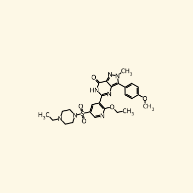 CCOc1ncc(S(=O)(=O)N2CCN(CC)CC2)cc1-c1nc2c(-c3ccc(OC)cc3)n(C)nc2c(=O)[nH]1